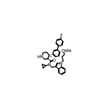 COCCCn1cc(CN(C(=O)[C@H]2CNCC[C@@H]2c2cccc(-c3ccc(F)cc3)c2)C2CC2)c2ccccc21